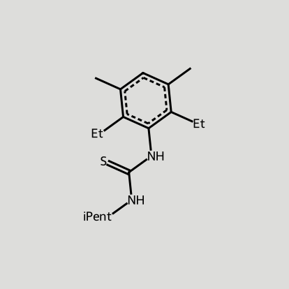 CCCC(C)NC(=S)Nc1c(CC)c(C)cc(C)c1CC